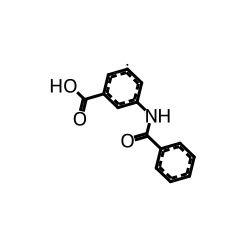 O=C(O)c1c[c]cc(NC(=O)c2ccccc2)c1